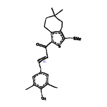 CSc1sc(C(=O)/C=C/c2cc(C)c(O)c(C)c2)c2c1CC(C)(C)CC2